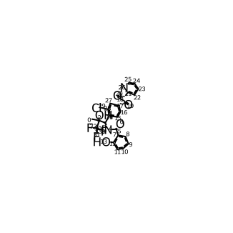 CC(O)(C(NC(=O)c1ccccc1O)c1ccc(S(=O)(=O)c2ccccn2)cc1Cl)C(F)(F)F